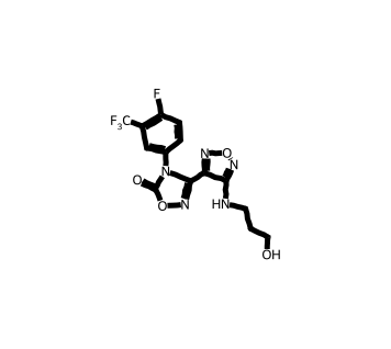 O=c1onc(-c2nonc2NCCCO)n1-c1ccc(F)c(C(F)(F)F)c1